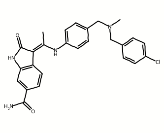 CC(Nc1ccc(CN(C)Cc2ccc(Cl)cc2)cc1)=C1C(=O)Nc2cc(C(N)=O)ccc21